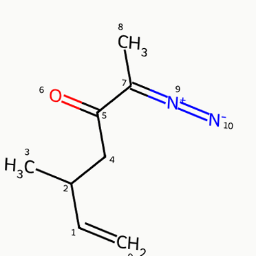 C=CC(C)CC(=O)C(C)=[N+]=[N-]